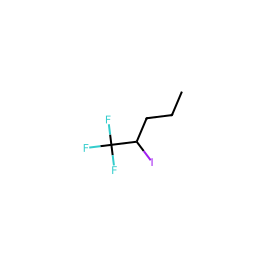 CCCC(I)C(F)(F)F